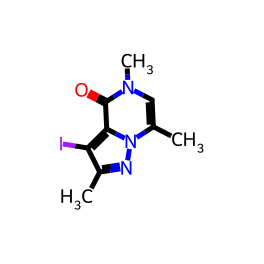 Cc1nn2c(C)cn(C)c(=O)c2c1I